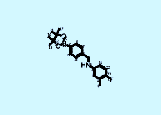 Cc1cc(NCc2ccc(B3OC(C)(C)C(C)(C)O3)cc2)ccc1F